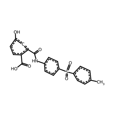 Cc1ccc(S(=O)(=O)c2ccc(NC(=O)c3cc(O)ccc3C(=O)O)cc2)cc1